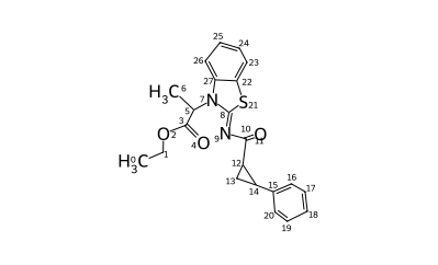 CCOC(=O)C(C)n1c(=NC(=O)C2CC2c2ccccc2)sc2ccccc21